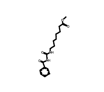 COC(=O)CCCCCCCNC(=O)NC(=O)c1ccccc1